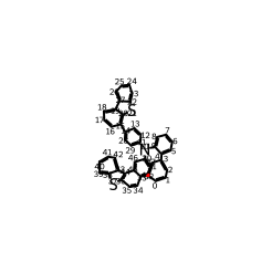 c1ccc(-c2ccccc2N(c2ccc(-c3cccc4c3sc3ccccc34)cc2)c2ccc3ccc4sc5ccccc5c4c3c2)cc1